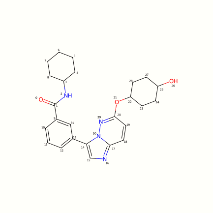 O=C(NC1CCCCC1)c1cccc(-c2cnc3ccc(OC4CCC(O)CC4)nn23)c1